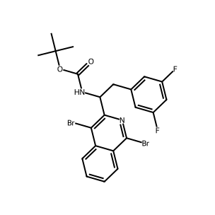 CC(C)(C)OC(=O)NC(Cc1cc(F)cc(F)c1)c1nc(Br)c2ccccc2c1Br